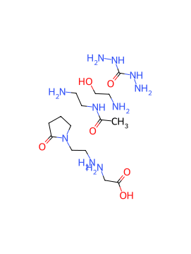 CC(=O)NCCN.NCC(=O)O.NCCN1CCCC1=O.NCCO.NNC(=O)NN